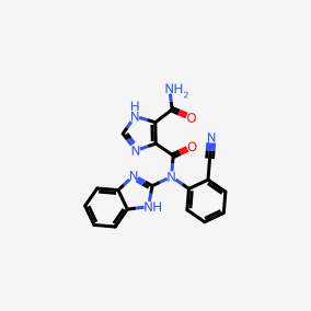 N#Cc1ccccc1N(C(=O)c1nc[nH]c1C(N)=O)c1nc2ccccc2[nH]1